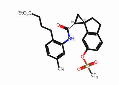 CCOC(=O)CCCc1ccc(C#N)cc1NC(=O)[C@@H]1C[C@]12CCc1ccc(OS(=O)(=O)C(F)(F)F)cc12